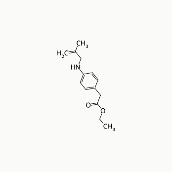 C=C(C)CNc1ccc(CC(=O)OCC)cc1